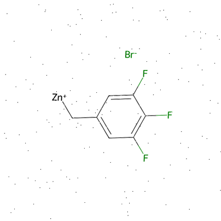 Fc1cc([CH2][Zn+])cc(F)c1F.[Br-]